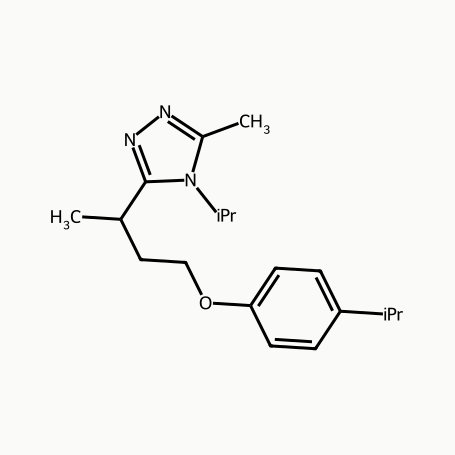 Cc1nnc(C(C)CCOc2ccc(C(C)C)cc2)n1C(C)C